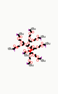 CC(C)(C)C(I)C(=O)OCCOCC(COCCOC(=O)C(I)C(C)(C)C)OCC(COC(COCCOC(=O)C(I)C(C)(C)C)COCCOC(=O)C(I)C(C)(C)C)OC(COC(COCCOC(=O)C(I)C(C)(C)C)COCCOC(=O)C(I)C(C)(C)C)COC(COCCOC(=O)C(I)C(C)(C)C)COCCOC(=O)C(I)C(C)(C)C